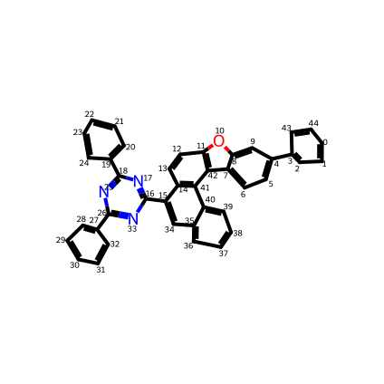 c1ccc(-c2ccc3c(c2)oc2ccc4c(-c5nc(-c6ccccc6)nc(-c6ccccc6)n5)cc5ccccc5c4c23)cc1